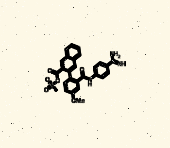 COc1ccc(-c2cc3ccccc3cc2C(=O)OS(C)(=O)=O)c(C(=O)Nc2ccc(C(=N)N)cc2)c1